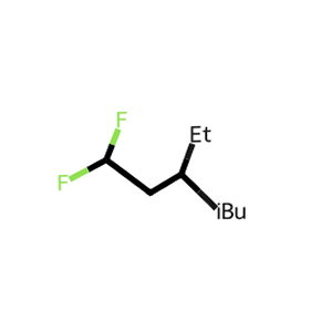 CCC(C)C(CC)CC(F)F